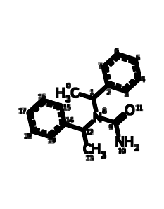 CC(c1ccccc1)N(C(N)=O)C(C)c1ccccc1